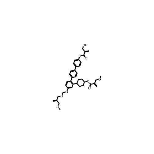 C=C(COC)COCOc1ccc(-c2ccc(-c3ccc(OC(=O)C(=C)CO)cc3)cc2)c(C2CCC(OC(=O)C(=C)COC)CC2)c1